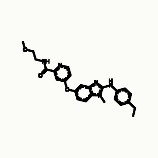 CCc1ccc(Nc2nc3cc(Oc4ccnc(C(=O)NCCOC)c4)ccc3n2C)cc1